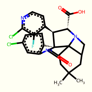 CC1(C)CCC23C(CN2[C@@H](C(=O)O)[C@H](c2ccnc(Cl)c2F)[C@]32C(=O)Nc3cc(Cl)ccc32)C1